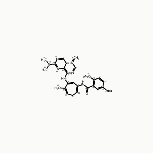 C=N/C=N\C(NC1=CC(NC(=O)c2cc(C(C)(C)C)ccc2OC)=CCC=C1C)=C1/CC=NC(N(C)C)=N1